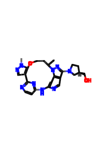 CC1CCOc2c(cnn2C)-c2nccc(n2)Nc2cc3c(cn2)c(N2CC[C@@H](CO)C2)nn31